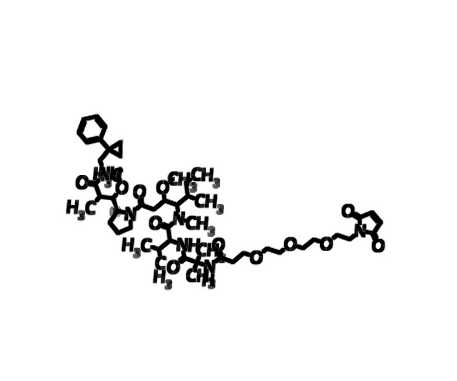 CCC(C)C(C(CC(=O)N1CCC[C@H]1C(OC)C(C)C(=O)NCC1(c2ccccc2)CC1)OC)N(C)C(=O)C(NC(=O)C(C)(C)NC(=O)CCOCCOCCOCCN1C(=O)C=CC1=O)C(C)C